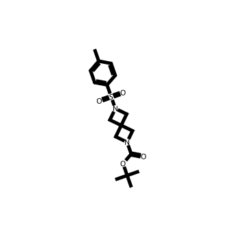 Cc1ccc(S(=O)(=O)N2CC3(CN(C(=O)OC(C)(C)C)C3)C2)cc1